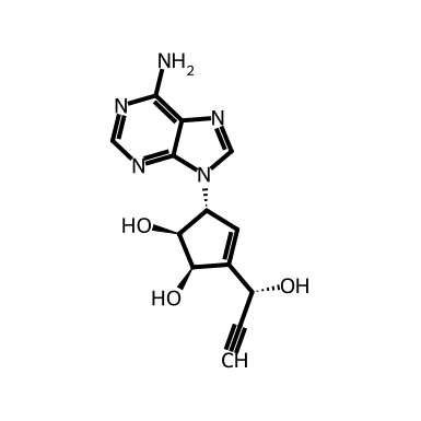 C#C[C@@H](O)C1=C[C@@H](n2cnc3c(N)ncnc32)[C@H](O)[C@@H]1O